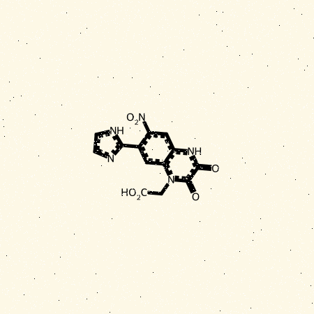 O=C(O)Cn1c(=O)c(=O)[nH]c2cc([N+](=O)[O-])c(-c3ncc[nH]3)cc21